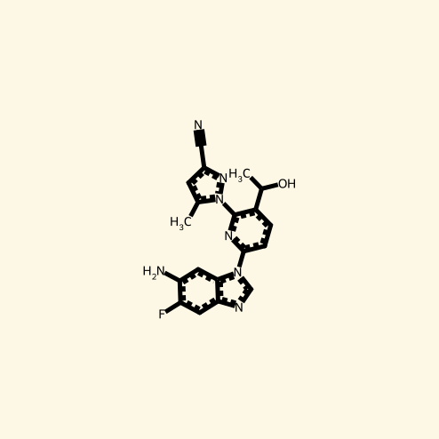 Cc1cc(C#N)nn1-c1nc(-n2cnc3cc(F)c(N)cc32)ccc1C(C)O